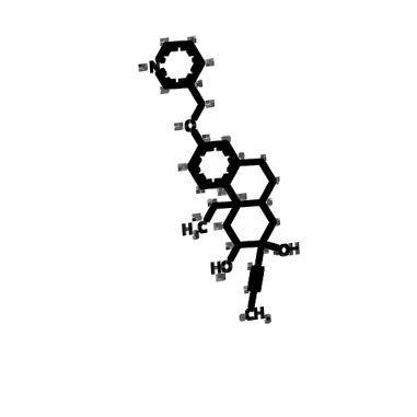 CC#CC1(O)CC2CCc3cc(OCc4cccnc4)ccc3C2(CC)CC1O